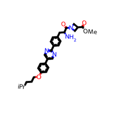 COC(=O)C1CN(C(=O)C(N)Cc2ccc(-c3ncc(-c4ccc(OCCCC(C)C)cc4)cn3)cc2)C1